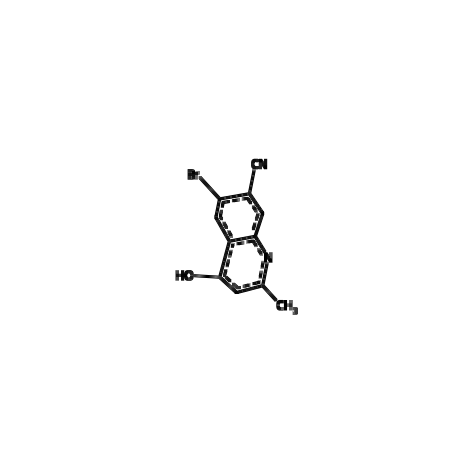 Cc1cc(O)c2cc(Br)c(C#N)cc2n1